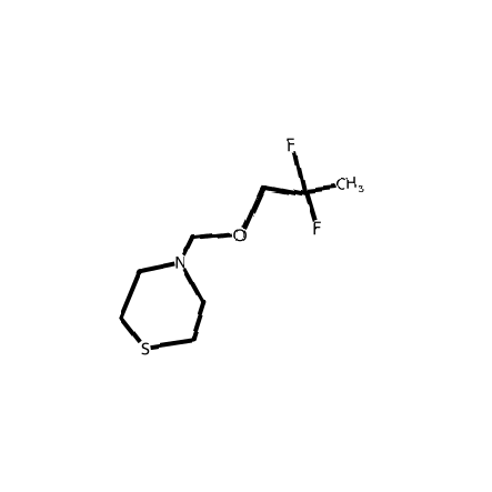 CC(F)(F)COCN1CCSCC1